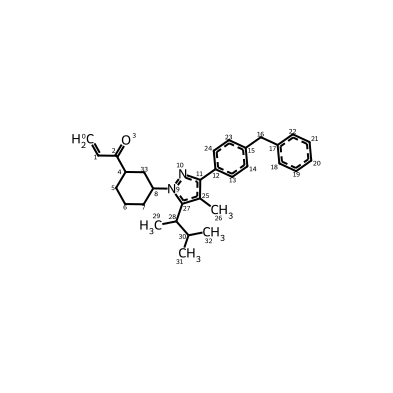 C=CC(=O)C1CCCC(n2nc(-c3ccc(Cc4ccccc4)cc3)c(C)c2C(C)C(C)C)C1